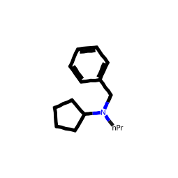 CCCN(Cc1ccccc1)C1CCCC1